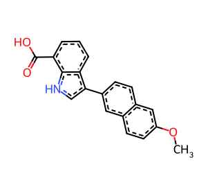 COc1ccc2cc(-c3c[nH]c4c(C(=O)O)cccc34)ccc2c1